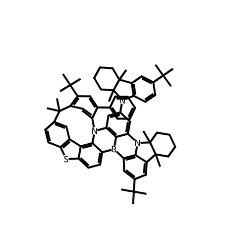 CC(C)(C)c1ccc2c(c1)C1(C)CCCCC1(C)N2c1cc2c3c(c1)N1c4c(cc(C(C)(C)C)cc4C4(C)CCCCC14C)B3c1ccc3sc4ccc5cc4c3c1N2c1cc(c(C(C)(C)C)cc1-c1ccccc1)C5(C)C